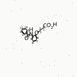 O=C(O)CCCOc1ccccc1NC(=O)c1ccccc1